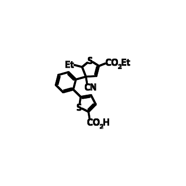 CCOC(=O)C1=CC(C#N)(c2ccccc2-c2ccc(C(=O)O)s2)C(CC)S1